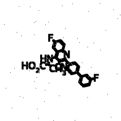 CC(Nc1c(C#N)c(-c2ccc(-c3cccc(F)c3)cc2)nc2ccc(F)cc12)C(=O)O